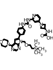 C[Si](C)(C)CCOCn1c(-c2ccc(NC(=O)Nc3cc(N4CC(NC(=O)O)C4)ccn3)cc2)cc2c(N3CCOCC3)ncnc21